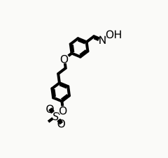 CS(=O)(=O)Oc1ccc(CCOc2ccc(C=NO)cc2)cc1